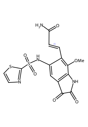 COc1c(/C=C/C(N)=O)c(NS(=O)(=O)c2nccs2)cc2c1NC(=O)C2=O